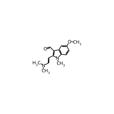 COc1ccc2c(c1)c(C=O)c(C=CN(C)C)n2C